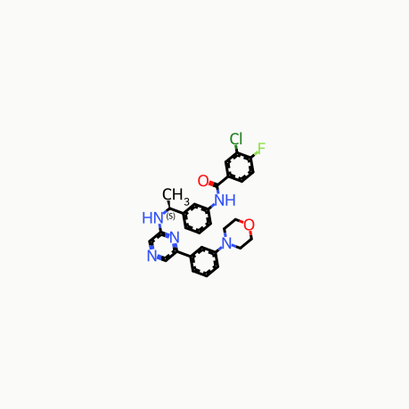 C[C@H](Nc1cncc(-c2cccc(N3CCOCC3)c2)n1)c1cccc(NC(=O)c2ccc(F)c(Cl)c2)c1